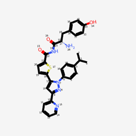 CC(C)c1ccc(-n2nc(-c3ccccn3)cc2-c2ccc(C(=O)NC(=O)[C@@H](N)Cc3ccc(O)cc3)s2)cc1